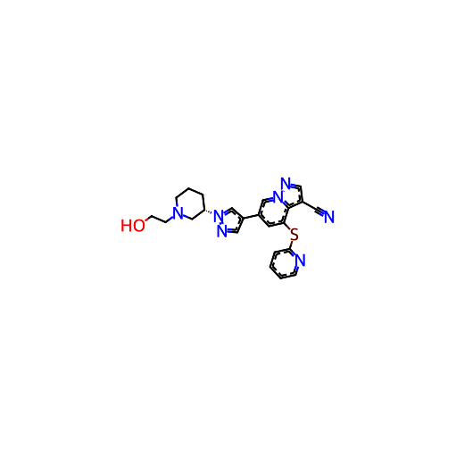 N#Cc1cnn2cc(-c3cnn([C@H]4CCCN(CCO)C4)c3)cc(Sc3ccccn3)c12